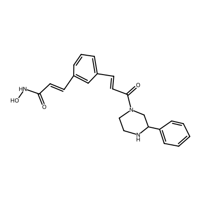 O=C(/C=C/c1cccc(/C=C/C(=O)N2CCNC(c3ccccc3)C2)c1)NO